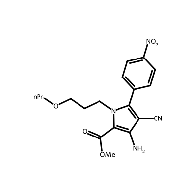 CCCOCCCn1c(C(=O)OC)c(N)c(C#N)c1-c1ccc([N+](=O)[O-])cc1